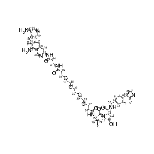 Cc1ncsc1-c1ccc(CNC(=O)[C@@H]2C[C@@H](O)CN2C(=O)[C@@H](NC(=O)CCOCCOCCOCCOCCC(=O)NCCC(=O)Nc2cc3cc(-c4cncc(N)c4C)c(F)c(N)c3cn2)C(C)(C)C)cc1